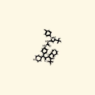 Cc1ccc(-n2nc(C(C)(C)C)cc2NC(=O)Nc2ccc(C(C(=O)c3cc4cnccc4nc3C(F)(F)F)C3CCNCC3)cc2)cc1